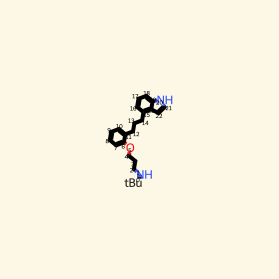 CC(C)(C)NCCCOc1ccccc1CCCc1cccc2[nH]ccc12